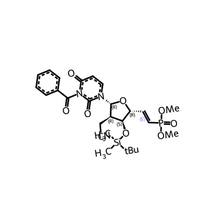 COP(=O)(/C=C/[C@H]1O[C@@H](n2ccc(=O)n(C(=O)c3ccccc3)c2=O)[C@H](CC#N)[C@@H]1O[Si](C)(C)C(C)(C)C)OC